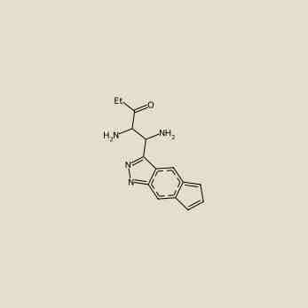 CCC(=O)C(N)C(N)C1=NN=c2cc3c(cc21)=CC=C3